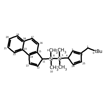 CC(C)(C)CC1=CC([Si](C)(C)[Si](C)(C)C2C=Cc3c2ccc2ccccc32)C=C1